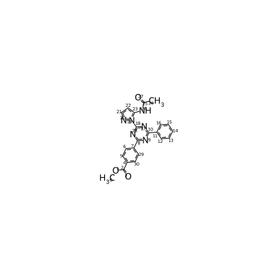 COC(=O)c1ccc(-c2nc(-c3ccccc3)nc(-n3nccc3NC(C)=O)n2)cc1